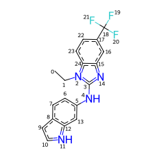 CCn1c(Nc2ccc3cc[nH]c3c2)nc2cc(C(F)(F)F)ccc21